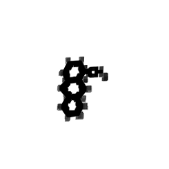 Cc1cccc2cc3cc[c]cc3cc12